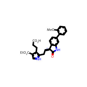 CCOC(=O)c1c[nH]c(C/C=C2\C(=O)Nc3cc(-c4ccccc4OC)ccc32)c1CCC(=O)O